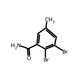 Cc1cc(Br)c(Br)c(C(N)=O)c1